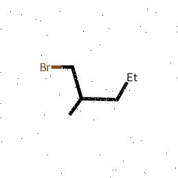 CCC[C](C)CBr